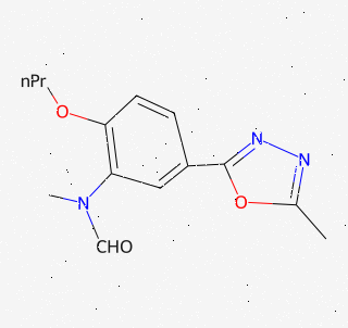 CCCOc1ccc(-c2nnc(C)o2)cc1N(C)C=O